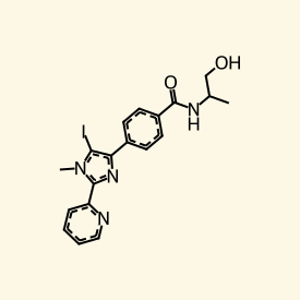 CC(CO)NC(=O)c1ccc(-c2nc(-c3ccccn3)n(C)c2I)cc1